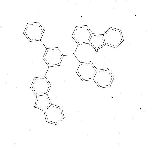 c1ccc(-c2cc(-c3ccc4sc5ccccc5c4c3)cc(N(c3ccc4ccccc4c3)c3cccc4c3oc3ccccc34)c2)cc1